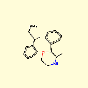 CC1NCCOC1c1ccccc1.CNCC(C)c1ccccc1